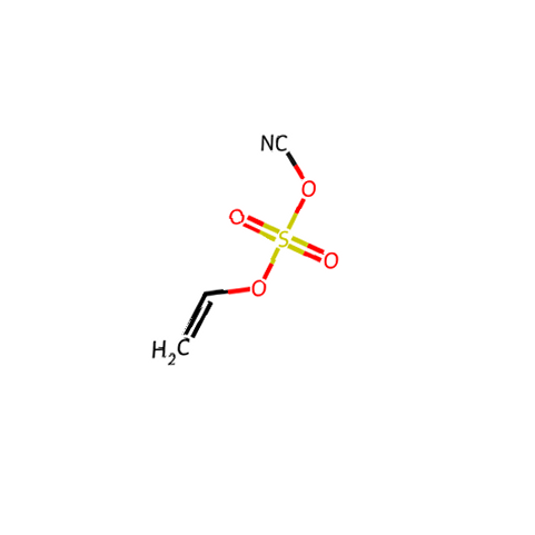 C=COS(=O)(=O)OC#N